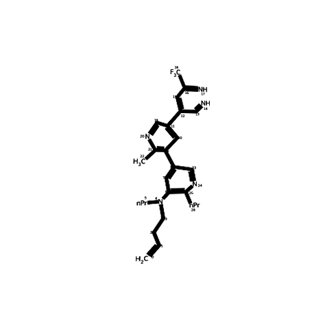 C=CCCN(CCC)c1cc(-c2cc(/C(C=N)=C/C(=N)C(F)(F)F)cnc2C)cnc1CCC